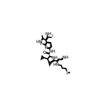 CSCCCN/C(=C\C=N)C1=C2CC2C(C2CC2)[C@@H](C(=O)Nc2ccc(/C(C(C)=N)=C(\C)N)c(F)n2)N1